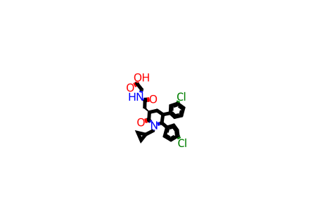 O=C(O)CNC(=O)C[C@H]1CC(c2cccc(Cl)c2)C(c2ccc(Cl)cc2)N(CC2CC2)C1=O